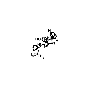 CC(C)Sc1ncccc1CNc1ncc(C#N)c(NC[C@]23CC4C[C@H](C2)[C@@H](NC[C@H]2CC[C@H](O)CC2)[C@@H](C4)C3)n1